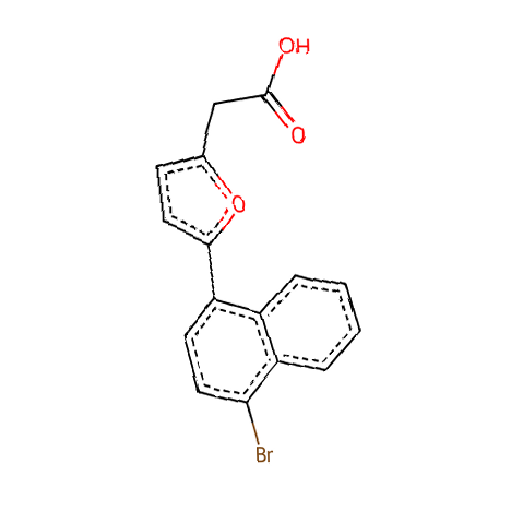 O=C(O)Cc1ccc(-c2ccc(Br)c3ccccc23)o1